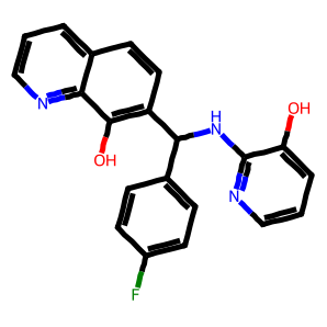 Oc1cccnc1NC(c1ccc(F)cc1)c1ccc2cccnc2c1O